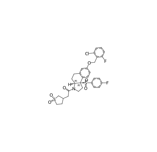 O=C(CC1CCS(=O)(=O)C1)N1CC[C@@]2(S(=O)(=O)c3ccc(F)cc3)c3ccc(OCc4c(F)cccc4Cl)cc3CC[C@@H]12